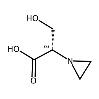 O=C(O)[C@H](CO)N1CC1